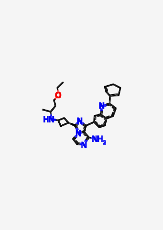 CCOCCC(C)N[C@H]1C[C@@H](c2nc(-c3ccc4ccc(C5=CCCC=C5)nc4c3)c3c(N)nccn32)C1